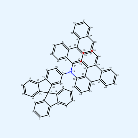 c1ccc2c(c1)-c1ccccc1C21c2ccccc2-c2ccc(N(c3cc4ccc5ccccc5c4c4ccccc34)c3cccc4c5ccccc5c5ccccc5c34)cc21